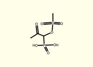 CC(=O)C(OS(C)(=O)=O)P(=O)(O)O